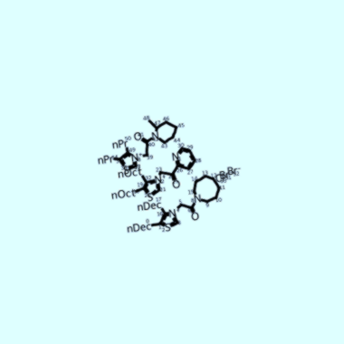 CCCCCCCCCCc1sc[n+](CC(=O)N2CCCCCCC2)c1CCCCCCCCCC.CCCCCCCCc1sc[n+](CC(=O)c2ccccn2)c1CCCCCCCC.CCCc1sc[n+](CC(=O)N2CCCCC2C)c1CCC.[Br-].[Br-].[Cl-]